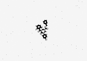 O=C(OCc1ccccc1)N1CN(C(=O)c2c(F)cccc2F)C(=O)N(c2ccc(Cl)cc2)C1